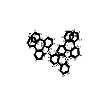 c1ccc(-c2cccc3c2c2c(-c4ccccc4)cccc2n3-c2ccc(-c3ccccc3-n3c4cccc(-c5ccccc5)c4c4c(-c5ccccc5)cccc43)cc2)cc1